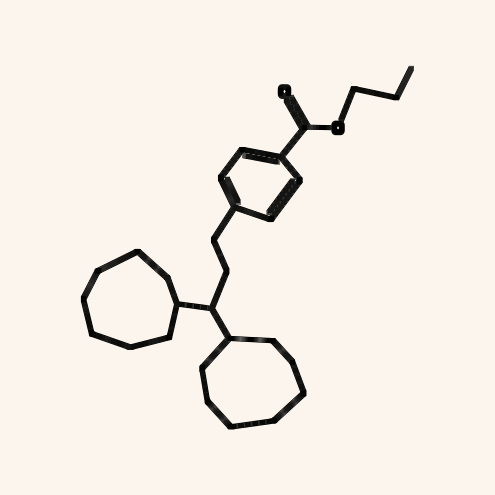 CCCOC(=O)c1ccc(CCC(C2CCCCCCC2)C2CCCCCCC2)cc1